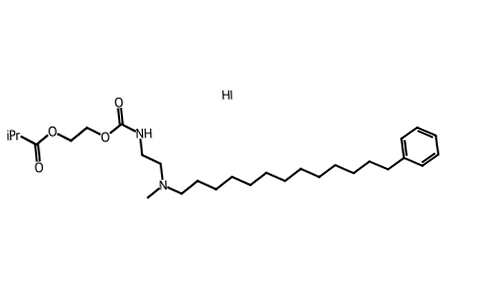 CC(C)C(=O)OCCOC(=O)NCCN(C)CCCCCCCCCCCCCc1ccccc1.I